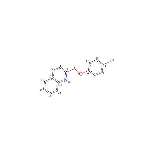 Ic1ccc(OCc2ccc3ccccc3n2)cc1